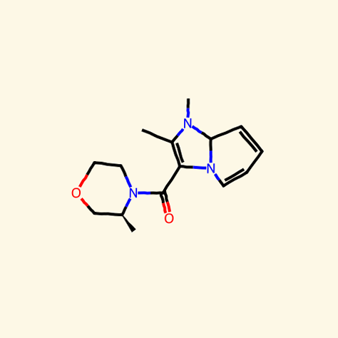 CC1=C(C(=O)N2CCOC[C@@H]2C)N2C=CC=CC2N1C